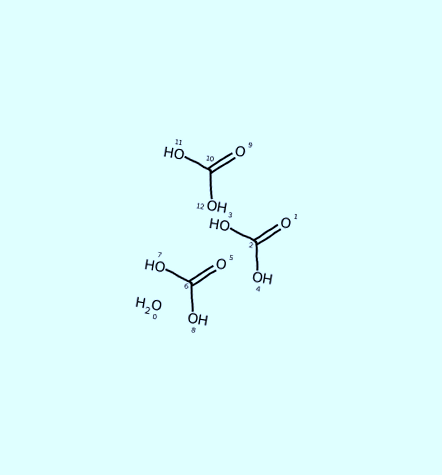 O.O=C(O)O.O=C(O)O.O=C(O)O